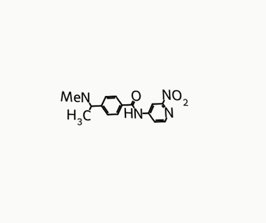 CNC(C)c1ccc(C(=O)Nc2ccnc([N+](=O)[O-])c2)cc1